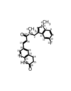 CN(Cc1cn(C)c2ccc(F)cc12)C(=O)C=Cc1cnc2c(c1)CCC(=O)N2